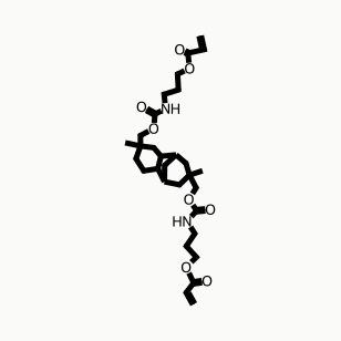 C=CC(=O)OCCCNC(=O)OCC1(C)CC2CC(C1)C1CC(C)(COC(=O)NCCCOC(=O)C=C)CCC21